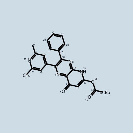 Cc1cc(-c2nc3c(=O)cc(OC(=O)C(C)(C)C)[nH]c3nc2-c2ccccc2)cc(Cl)n1